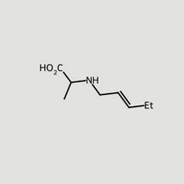 CC/C=C/CNC(C)C(=O)O